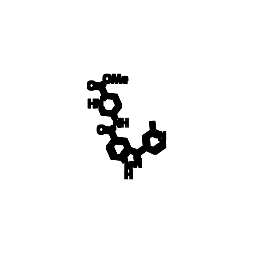 COC(=O)C1CCC(NC(=O)c2ccc3[nH]nc(-c4ccnc(C)c4)c3c2)CN1